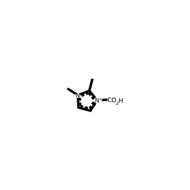 Cc1n(C)cc[n+]1C(=O)O